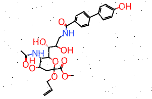 C=CCOC1(C(=O)OC)CC(O)C(NC(C)=O)C([C@H](O)C(O)CNC(=O)c2ccc(-c3ccc(O)cc3)cc2)O1